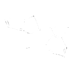 Cl.Fc1cnccc1NN1Cc2ccccc2C1